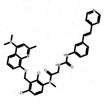 Cc1cc(N(C)C)c2cccc(OCc3c(Cl)ccc(N(C)C(=O)CNC(=O)Nc4cccc(/C=C/c5ccncc5)c4)c3Cl)c2n1